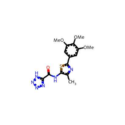 COc1cc(-c2nc(C)c(NC(=O)c3nnn[nH]3)s2)cc(OC)c1OC